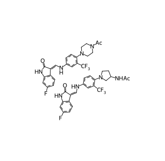 CC(=O)N1CCN(c2ccc(N/C=C3/C(=O)Nc4cc(F)ccc43)cc2C(F)(F)F)CC1.CC(=O)NC1CCN(c2ccc(N/C=C3\C(=O)Nc4cc(F)ccc43)cc2C(F)(F)F)C1